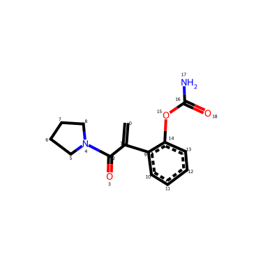 C=C(C(=O)N1CCCC1)c1ccccc1OC(N)=O